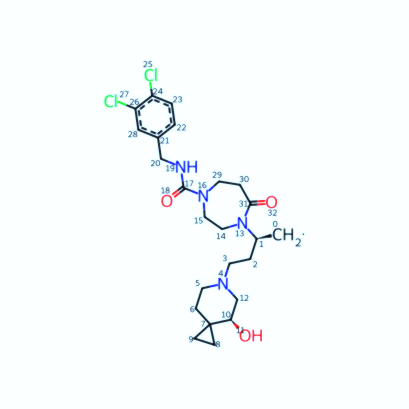 [CH2][C@@H](CCN1CCC2(CC2)[C@H](O)C1)N1CCN(C(=O)NCc2ccc(Cl)c(Cl)c2)CCC1=O